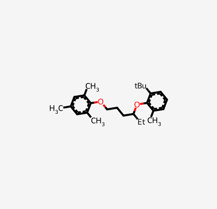 [CH2]CC(CCCOc1c(C)cc(C)cc1C)Oc1c(C)cccc1C(C)(C)C